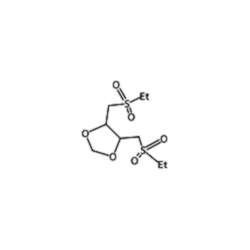 CCS(=O)(=O)CC1OCOC1CS(=O)(=O)CC